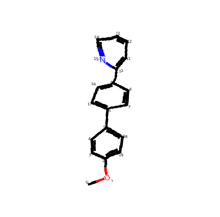 COc1ccc(-c2ccc(-c3ccccn3)cc2)cc1